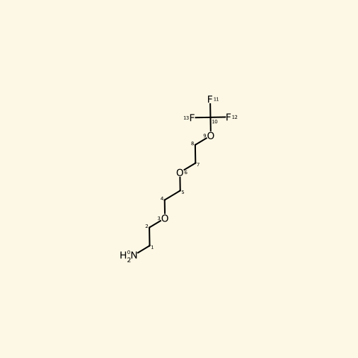 NCCOCCOCCOC(F)(F)F